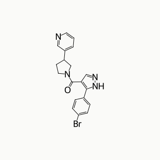 O=C(c1cn[nH]c1-c1ccc(Br)cc1)N1CCC(c2cccnc2)C1